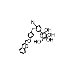 N#Cc1ccc([C@@H]2O[C@H](CO)[C@@H](O)[C@H](O)[C@H]2O)cc1Cc1ccc(OCc2cc3ccccc3o2)cc1